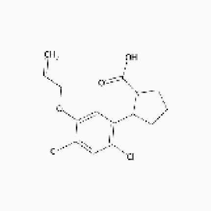 C=CCOc1cc(C2CCCN2C(=O)O)c(Cl)cc1Cl